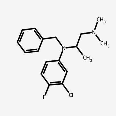 CC(CN(C)C)N(Cc1ccccc1)c1ccc(F)c(Cl)c1